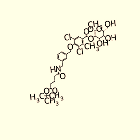 CO[C@H]1O[C@H](CO)[C@@H](O)[C@H](O)[C@H]1OC(=O)c1cc(Cl)c(OCc2cccc(CNC(=O)CCCC(=O)OC(C)(C)C)c2)c(Cl)c1C